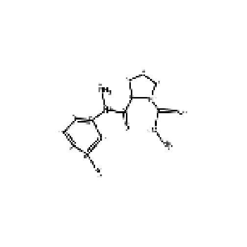 CC(C)(C)OC(=O)N1CCCC1C(=O)N(N)c1cccc(Br)c1